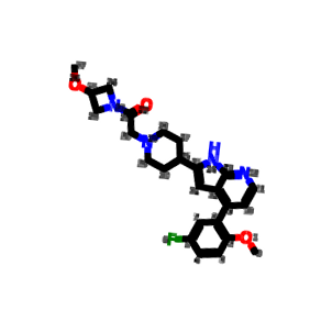 COc1ccc(F)cc1-c1ccnc2[nH]c(C3CCN(CC(=O)N4CC(OC)C4)CC3)cc12